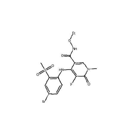 CCONC(=O)c1cn(C)c(=O)c(F)c1Nc1ccc(Br)cc1S(C)(=O)=O